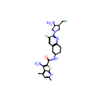 Cc1cc(C)c2c(N)c(C(=O)NC3CCc4nc(N5CC(N)C(CF)C5)c(F)cc4C3)sc2n1